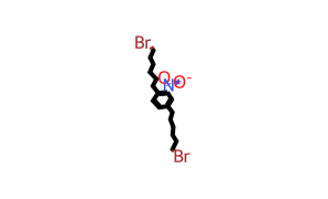 O=[N+]([O-])c1cc(CCCCCCBr)ccc1CCCCCCBr